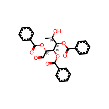 C[C@@H](O)[C@@H](OC(=O)c1ccccc1)[C@@H](OC(=O)c1ccccc1)[C@H](C=O)OC(=O)c1ccccc1